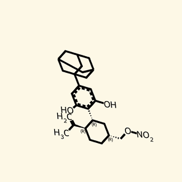 C=C(C)[C@@H]1CC[C@@H](CO[N+](=O)[O-])C[C@H]1c1c(O)cc(C23CC4CC(CC(C4)C2)C3)cc1O